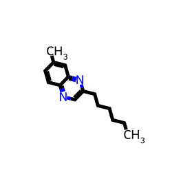 CCCCCCc1cnc2ccc(C)cc2n1